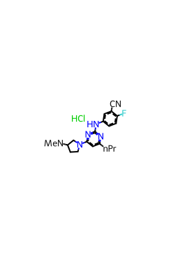 CCCc1cc(N2CCC(NC)C2)nc(Nc2ccc(F)c(C#N)c2)n1.Cl